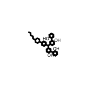 CCCCCC1CCC(c2ccc(C(c3ccc(O)c(-c4ccccc4O)c3)c3ccc(O)c(-c4ccccc4O)c3)cc2)CC1